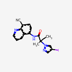 CC(C)(C(=O)Nc1ccc(C#N)c2ncccc12)n1cc(I)cn1